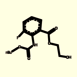 CCCCOC(=O)Nc1c(F)cccc1C(=O)OCCO